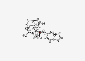 NC(=O)[C@]12CC3CC(C1)C(C1[C@H](Oc4ccc5nccn5n4)CCN1C(=O)O)[C@@H](C3)C2